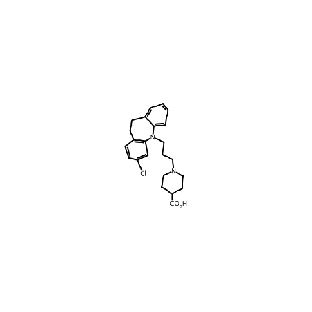 O=C(O)C1CCN(CCCN2c3ccccc3CCc3ccc(Cl)cc32)CC1